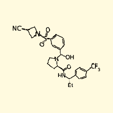 CC[C@H](NC(=O)[C@H]1CCCN1C(O)c1cccc(S(=O)(=O)N2CC(C#N)C2)c1)c1ccc(C(F)(F)F)cc1